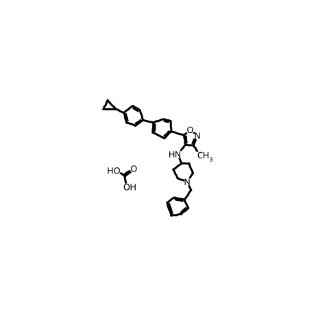 Cc1noc(-c2ccc(-c3ccc(C4CC4)cc3)cc2)c1NC1CCN(Cc2ccccc2)CC1.O=C(O)O